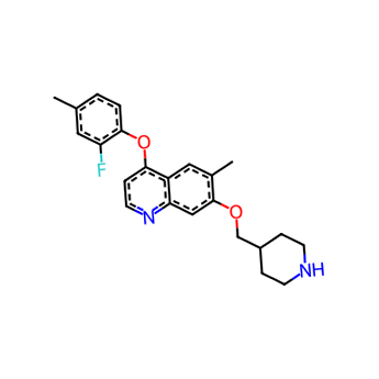 Cc1ccc(Oc2ccnc3cc(OCC4CCNCC4)c(C)cc23)c(F)c1